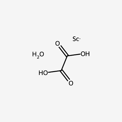 O.O=C(O)C(=O)O.[Sc]